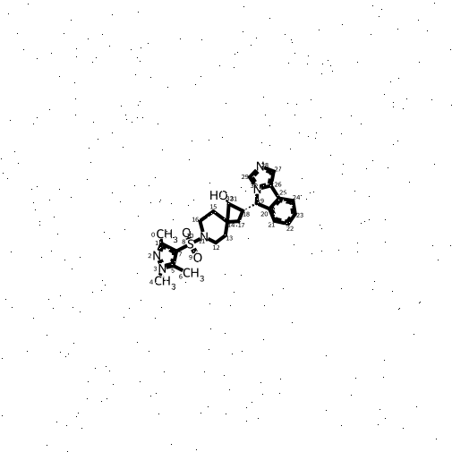 Cc1nn(C)c(C)c1S(=O)(=O)N1CCC2(CC1)C[C@@H](C1c3ccccc3-c3cncn31)[C@H]2O